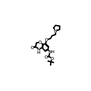 CC(C)(C)OC(=O)Nc1cc2c(c(OCCCN3CCCC3)c1)OCC(=O)N2